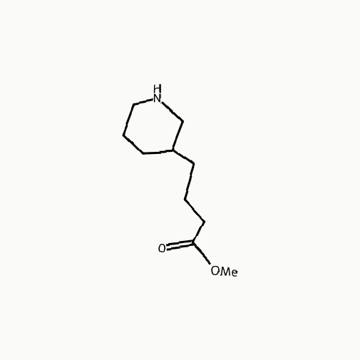 COC(=O)CCCC1CCCNC1